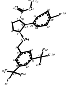 COC(=O)[C@H]1CC[C@H](NCc2cc(C(F)(F)F)cc(C(F)(F)F)c2)[C@@H]1c1ccc(F)cc1